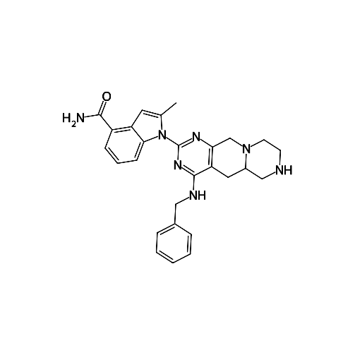 Cc1cc2c(C(N)=O)cccc2n1-c1nc2c(c(NCc3ccccc3)n1)CC1CNCCN1C2